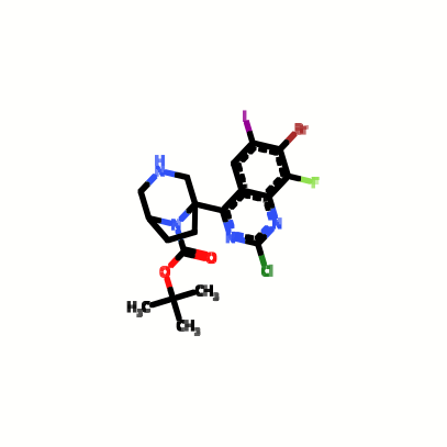 CC(C)(C)OC(=O)N1C2CCC1(c1nc(Cl)nc3c(F)c(Br)c(I)cc13)CNC2